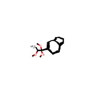 COC([SiH3])C(OC)(OC)c1ccc2ccccc2c1